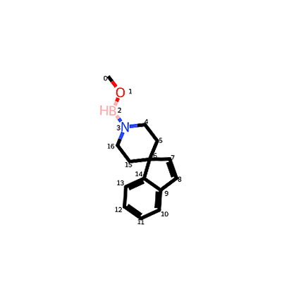 COBN1CCC2(C=Cc3ccccc32)CC1